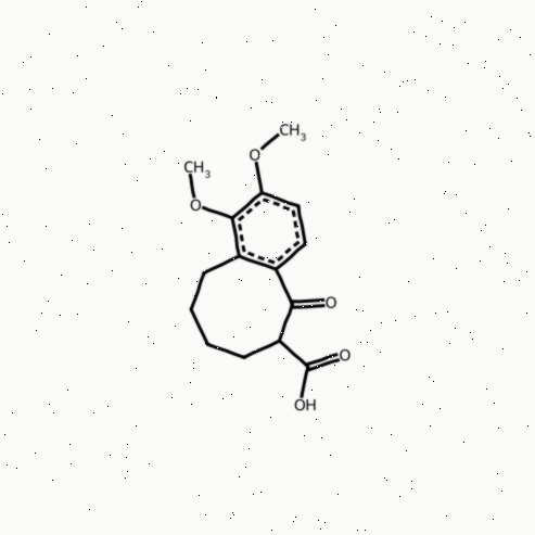 COc1ccc2c(c1OC)CCCCC(C(=O)O)C2=O